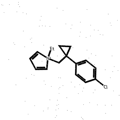 CC[N+]1(CC2(c3ccc(Cl)cc3)CC2)C=CC=C1